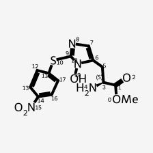 COC(=O)[C@@H](N)Cc1cnc(Sc2ccc([N+](=O)[O-])cc2)n1O